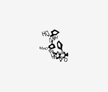 COc1cc(C(=O)NC2(CO)CCCC2)ccc1Nc1ncc2c(n1)N(C1CCCC1)CC1(CC1)C(=O)N2C